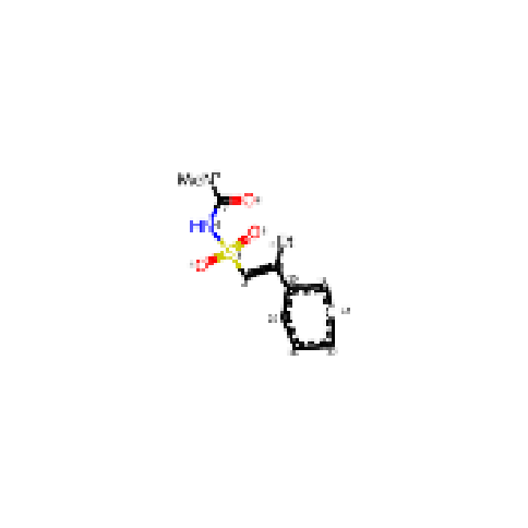 CCC(=CS(=O)(=O)NC(=O)NC)c1ccccc1